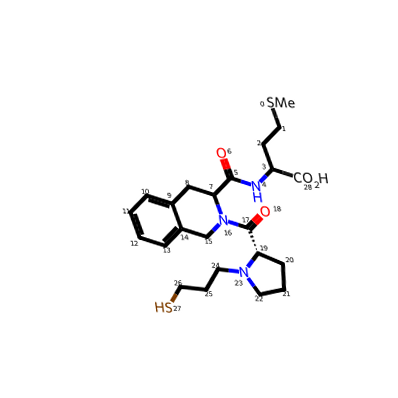 CSCCC(NC(=O)C1Cc2ccccc2CN1C(=O)[C@@H]1CCCN1CCCS)C(=O)O